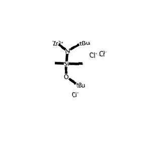 CC(C)(C)O[Si](C)(C)[N]([Zr+3])C(C)(C)C.[Cl-].[Cl-].[Cl-]